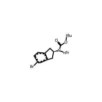 CCCN(C(=O)OC(C)(C)C)[C@@H]1Cc2ccc(Br)cc2C1